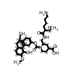 CNC(CCCCN)C(=O)NCC1CC(C(=O)O)CCN1C(=O)OC1=CCC2C3Cc4ccc(OC)c(O)c4C2(CCN3C)C1